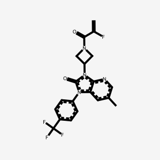 C=C(F)C(=O)N1CC(n2c(=O)n(-c3ccc(C(F)(F)F)cc3)c3cc(C)cnc32)C1